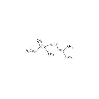 C=C/C(C)=C(C)/C=P\C=C(C)C